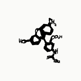 C=c1ccc2c(c1)Oc1cc(O)ccc1C=2c1ccc(NC(=S)C(C)(C)C)cc1C(=O)O